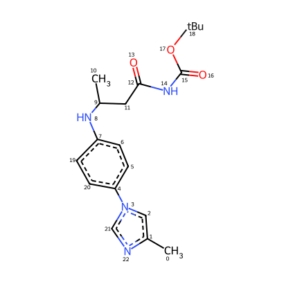 Cc1cn(-c2ccc(NC(C)CC(=O)NC(=O)OC(C)(C)C)cc2)cn1